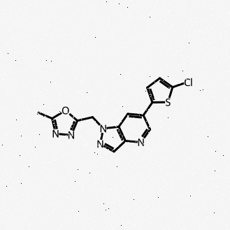 Cc1nnc(Cn2ncc3ncc(-c4ccc(Cl)s4)cc32)o1